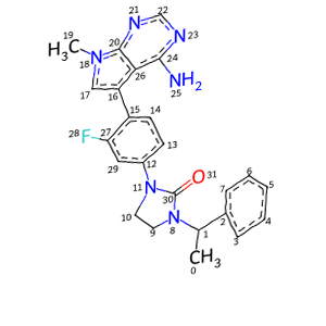 CC(c1ccccc1)N1CCN(c2ccc(-c3cn(C)c4ncnc(N)c34)c(F)c2)C1=O